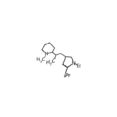 CCN1CC(CC(C)C2CCCCN2C)CC1C(C)C